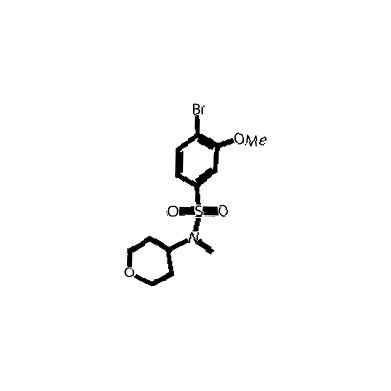 COc1cc(S(=O)(=O)N(C)C2CCOCC2)ccc1Br